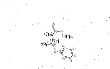 C=C(C)C(=O)NN(CCC)Cc1ccccc1.Cl